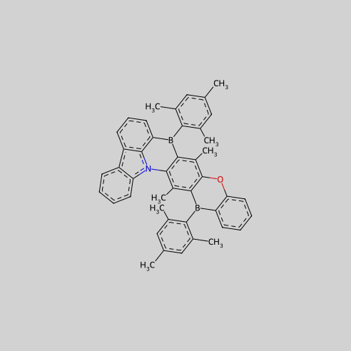 Cc1cc(C)c(B2c3ccccc3Oc3c(C)c4c(c(C)c32)-n2c3ccccc3c3cccc(c32)B4c2c(C)cc(C)cc2C)c(C)c1